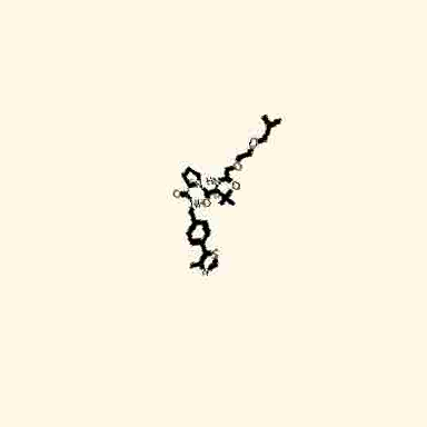 Cc1ncsc1-c1ccc(CNC(=O)[C@@H]2CCCN2C(=O)[C@@H](NC(=O)COCCOCC(C)C)C(C)(C)C)cc1